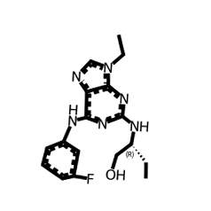 CC[C@H](CO)Nc1nc(Nc2cccc(F)c2)c2ncn(CC)c2n1